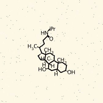 CC(C)NC(=O)CC[C@H](C)[C@@H]1CC[C@@H]2[C@H]3[C@H](O)C[C@H]4C[C@@H](O)CC[C@@]4(C)[C@]3(C)CC[C@]21C